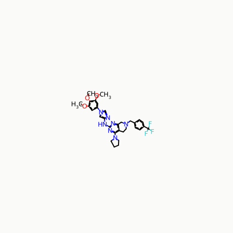 COc1cc(-n2cnc(Nc3nc4c(c(N5CCCC5)n3)CCN(Cc3ccc(C(F)(F)F)cc3)C4)c2)cc(OC)c1OC